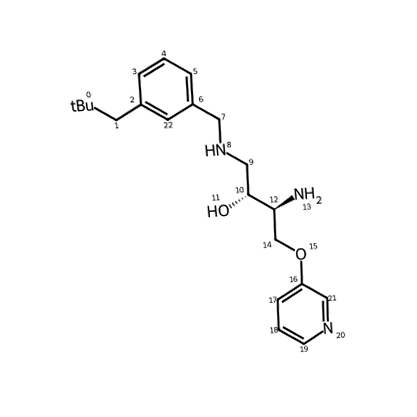 CC(C)(C)Cc1cccc(CNC[C@@H](O)[C@@H](N)COc2cccnc2)c1